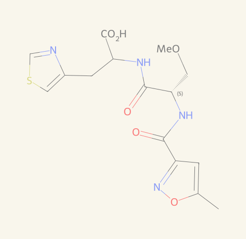 COC[C@H](NC(=O)c1cc(C)on1)C(=O)NC(Cc1cscn1)C(=O)O